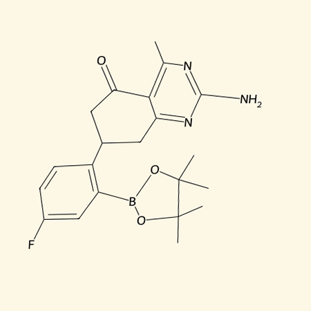 Cc1nc(N)nc2c1C(=O)CC(c1ccc(F)cc1B1OC(C)(C)C(C)(C)O1)C2